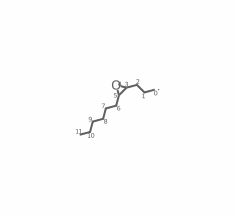 [CH2]CCC1OC1CCCCCC